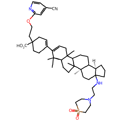 CC1(C)C(C2=CCC(CCOc3cc(C#N)ccn3)(C(=O)O)CC2)=CCC2(C)C1CCC1(C)C2CCC2[C@H]3CCCC3(NCCN3CCS(=O)(=O)CC3)CC[C@]21C